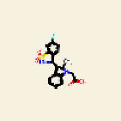 Cc1c(C2NS(=O)(=O)c3cc(F)ccc32)c2ccccc2n1CC(=O)O